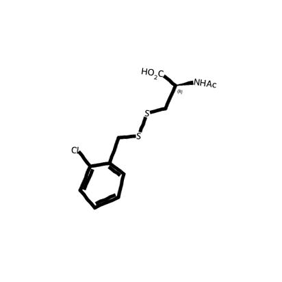 CC(=O)N[C@@H](CSSCc1ccccc1Cl)C(=O)O